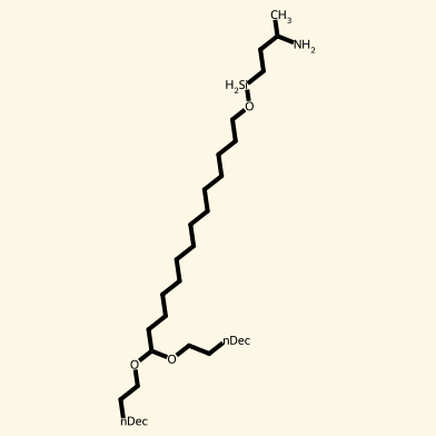 CCCCCCCCCCCCOC(CCCCCCCCCCCCCO[SiH2]CCC(C)N)OCCCCCCCCCCCC